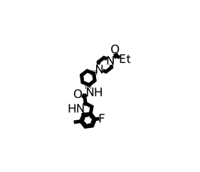 CCC(=O)N1CCN([C@H]2CCC[C@@H](NC(=O)C3Cc4c(F)ccc(C)c4N3)C2)CC1